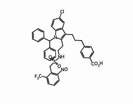 O=Nc1cccc(C(F)(F)F)c1CS(=O)(=O)NCCc1c(CCCc2ccc(C(=O)O)cc2)c2cc(Cl)ccc2n1C(c1ccccc1)c1ccccc1